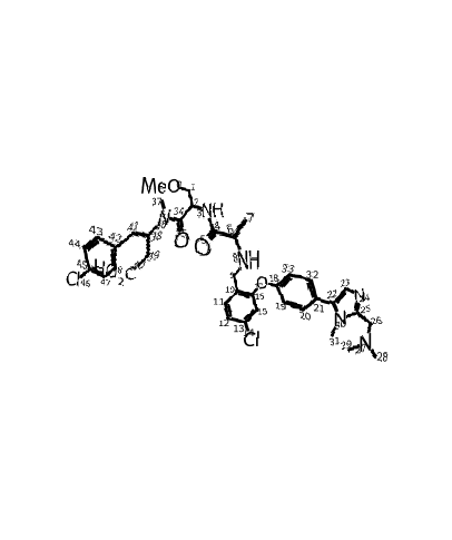 COCC(NC(=O)C(C)NCc1ccc(Cl)cc1Oc1ccc(-c2cnc(CN(C)C)n2C)cc1)C(=O)N(C)C(CC(=O)O)Cc1ccc(Cl)cc1